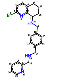 Brc1ccc2c(n1)C(NCc1ccc(CNCc3ccccn3)cc1)CCC2